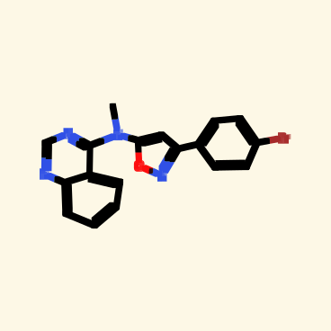 CN(c1cc(-c2ccc(Br)cc2)no1)c1ncnc2ccccc12